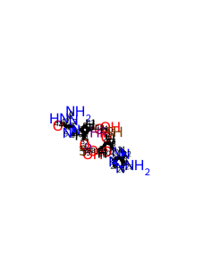 Nc1nc2c(ncn2[C@@H]2C[C@@H]3CO[PH](O)(S)O[C@H]4C[C@H](n5cnc6c(N)ncnc65)O[C@@H]4COP(O)(=S)OC[C@H]32)c(=O)[nH]1